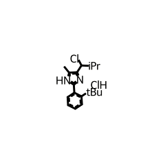 Cc1[nH]c(-c2ccccc2C(C)(C)C)nc1C(Cl)C(C)C.Cl